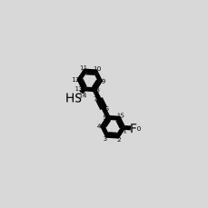 Fc1cccc(C#Cc2ccccc2S)c1